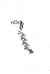 CCCCCCCCOCOCCCC(C)CC(C)CC(C)CC(C)CC(C)CC(C)CC(C)CCCBr